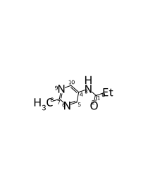 CCC(=O)Nc1cnc(C)nc1